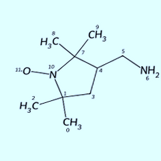 CC1(C)CC(CN)C(C)(C)N1[O]